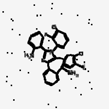 NC(=O)c1ccccc1-c1nc(-c2ccccc2N)n(-c2cccc(Cl)c2F)c1-c1ccc(F)c(Cl)c1